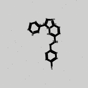 Fc1ccc(CNc2ccc3ncc(-c4cccnc4)n3n2)cc1